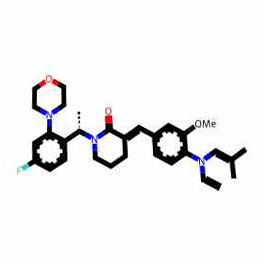 C=CN(C=C(C)C)c1ccc(/C=C2\CCCN([C@@H](C)c3ccc(F)cc3N3CCOCC3)C2=O)cc1OC